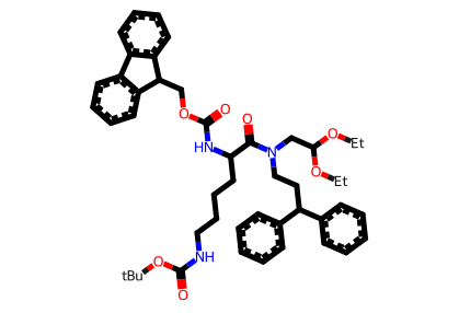 CCOC(CN(CCC(c1ccccc1)c1ccccc1)C(=O)C(CCCCNC(=O)OC(C)(C)C)NC(=O)OCC1c2ccccc2-c2ccccc21)OCC